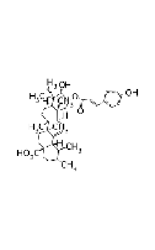 C[C@H]1[C@H](C)CC[C@]2(C(=O)O)CC[C@]3(C)C(=CC[C@@H]4[C@@]5(C)C[C@@H](OC(=O)/C=C/c6ccc(O)cc6)[C@H](O)C(C)(C)[C@@H]5CC[C@]43C)[C@H]12